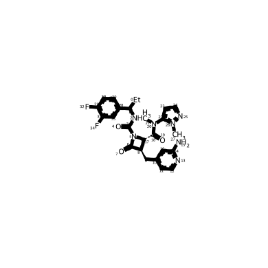 CCC(NC(=O)N1C(=O)[C@H](Cc2ccnc(N)c2)[C@H]1C(=O)N(C)c1ccnn1C)c1ccc(F)c(F)c1